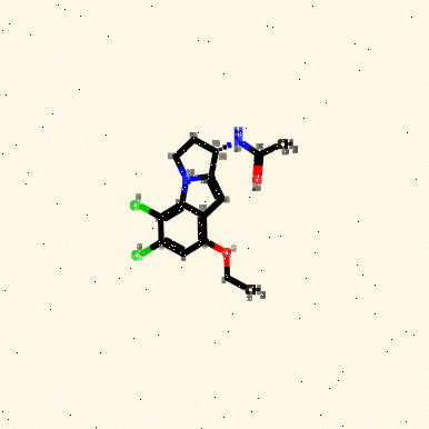 CCOc1cc(Cl)c(Cl)c2c1cc1n2CC[C@@H]1NC(C)=O